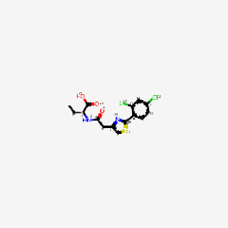 CC[C@H](NC(=O)Cc1csc(-c2ccc(Cl)cc2Cl)n1)C(=O)O